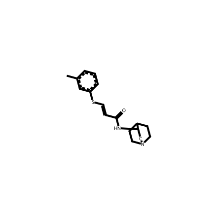 Cc1cccc(SC=CC(=O)NC2CN3CCC2CC3)c1